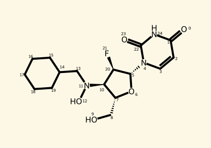 O=c1ccn([C@@H]2O[C@H](CO)[C@@H](N(O)CC3CCCCC3)[C@H]2F)c(=O)[nH]1